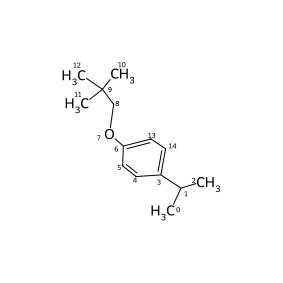 CC(C)c1ccc(OCC(C)(C)C)cc1